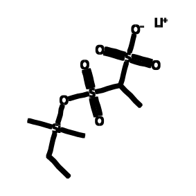 CC[Si](C)(C)OS(=O)(=O)C(C)S(=O)(=O)[O-].[Li+]